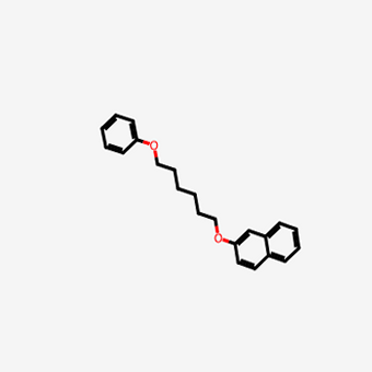 c1ccc(OCCCCCCOc2ccc3ccccc3c2)cc1